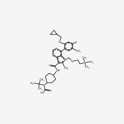 Cc1cc(-c2ncnc3c(C(=O)NC4CCC(N(C(=O)O)C(C)(C)C)CC4)c(C)n(COCC[Si](C)(C)C)c23)c(OCC2CC2)cc1F